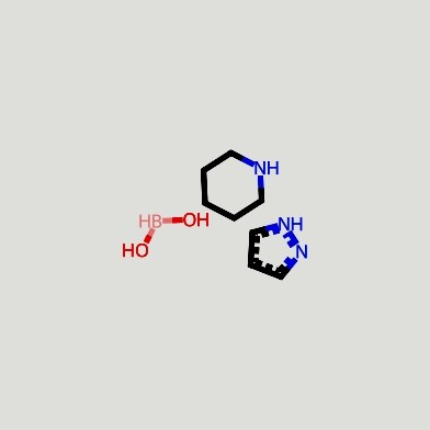 C1CCNCC1.OBO.c1cn[nH]c1